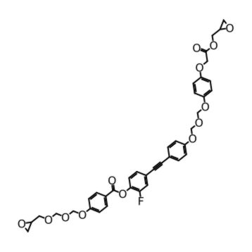 O=C(COc1ccc(OCOCOc2ccc(C#Cc3ccc(OC(=O)c4ccc(OCOCOCC5CO5)cc4)c(F)c3)cc2)cc1)OCC1CO1